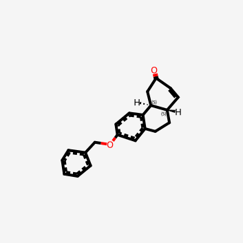 O=C1C=C[C@@H]2CCc3cc(OCc4ccccc4)ccc3[C@H]2C1